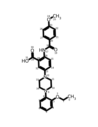 CCOc1ccccc1N1CCN(c2ccc(NC(=O)c3ccc(OC)cc3)c(C(=O)O)c2)CC1